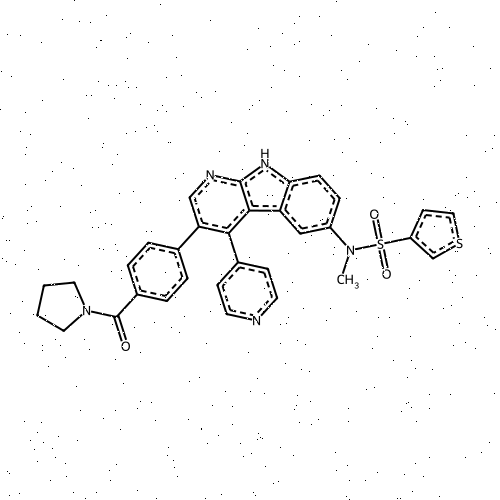 CN(c1ccc2[nH]c3ncc(-c4ccc(C(=O)N5CCCC5)cc4)c(-c4ccncc4)c3c2c1)S(=O)(=O)c1ccsc1